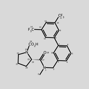 CN(Cc1cccc(-c2cc(C(F)(F)F)cc(C(F)(F)F)c2)c1)C(=O)[C@@H]1CCCN1C(=O)O